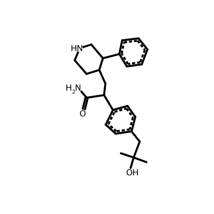 CC(C)(O)Cc1ccc(C(CC2CCNCC2c2ccccc2)C(N)=O)cc1